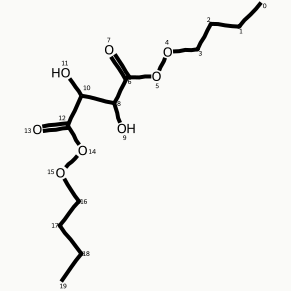 CCCCOOC(=O)C(O)C(O)C(=O)OOCCCC